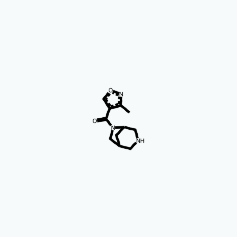 Cc1nocc1C(=O)N1CC2CNCC1C2